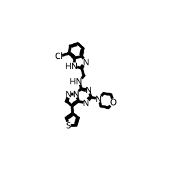 Clc1cccc2nc(CNc3nc(N4CCOCC4)nc4c(-c5ccsc5)cnn34)[nH]c12